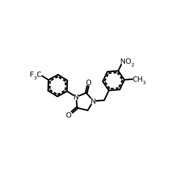 Cc1cc(CN2CC(=O)N(c3ccc(C(F)(F)F)cc3)C2=O)ccc1[N+](=O)[O-]